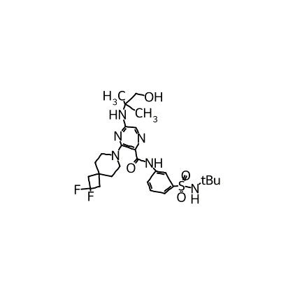 CC(C)(C)NS(=O)(=O)c1cccc(NC(=O)c2ncc(NC(C)(C)CO)nc2N2CCC3(CC2)CC(F)(F)C3)c1